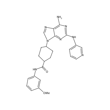 COc1cccc(NC(=O)C2CCC(n3cnc4c(N)nc(Nc5cccnc5)nc43)CC2)c1